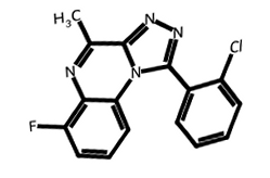 Cc1nc2c(F)cccc2n2c(-c3ccccc3Cl)nnc12